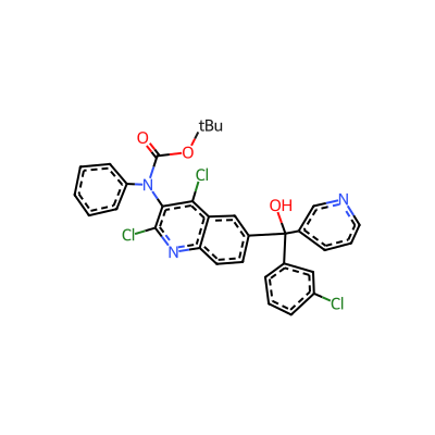 CC(C)(C)OC(=O)N(c1ccccc1)c1c(Cl)nc2ccc(C(O)(c3cccnc3)c3cccc(Cl)c3)cc2c1Cl